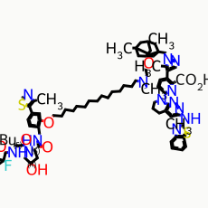 Cc1ncsc1-c1ccc(CNC(=O)[C@@H]2C[C@@H](O)CN2C(=O)[C@@H](NC(=O)C2(F)CC2)C(C)(C)C)c(OCCCCCCCCCCCCCCCN(C)CCOC23CC4(C)CC(C)(CC(Cn5ncc(-c6ccc(N7CCCc8c7nnc(Nc7nc9ccccc9s7)c8C)nc6C(=O)O)c5C)(C4)C2)C3)c1